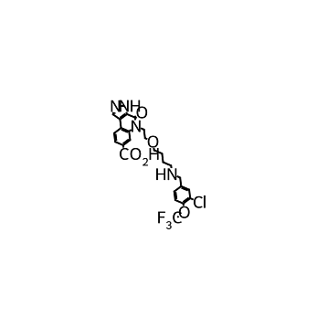 O=C(O)c1ccc2c3cn[nH]c3c(=O)n(CCOCCCCNCc3ccc(OC(F)(F)F)c(Cl)c3)c2c1